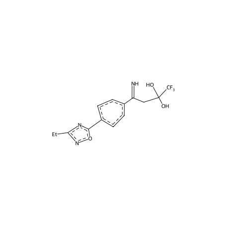 CCc1noc(-c2ccc(C(=N)CC(O)(O)C(F)(F)F)cc2)n1